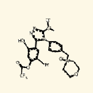 CC(C)c1cc(-c2nnc([S+](C)[O-])n2-c2ccc(C[N+]3([O-])CCOCC3)cc2)c(O)cc1OC(=O)C(F)(F)F